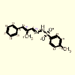 CC(/C=N/NS(=O)(=O)c1ccc(C)cc1)=C\c1ccccc1